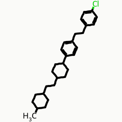 CC1CCC(CCC2CCC(c3ccc(CCc4ccc(Cl)cc4)cc3)CC2)CC1